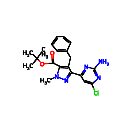 Cn1nc(-c2cc(Cl)nc(N)n2)c(Cc2ccccc2)c1C(=O)OC(C)(C)C